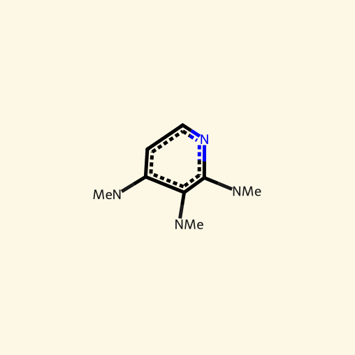 CNc1ccnc(NC)c1NC